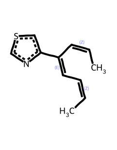 C\C=C/C=C(\C=C/C)c1cscn1